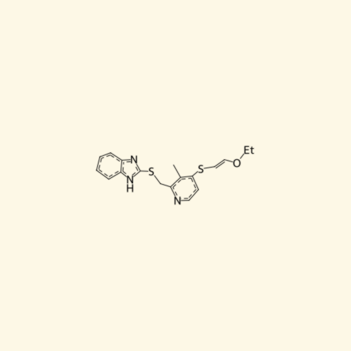 CCO/C=C/Sc1ccnc(CSc2nc3ccccc3[nH]2)c1C